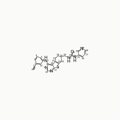 C#Cc1cccc(Nc2ncnc3sc4c(c23)CCC(CNC(=O)Nc2cccnc2)C4)c1